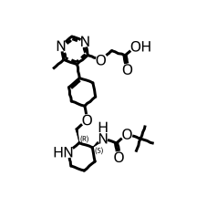 Cc1ncnc(OCC(=O)O)c1C1=CCC(OC[C@@H]2NCCC[C@@H]2NC(=O)OC(C)(C)C)CC1